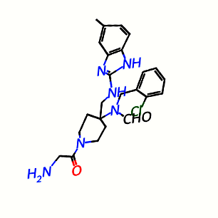 Cc1ccc2[nH]c(NCC3(N(C=O)Cc4ccccc4Cl)CCN(C(=O)CN)CC3)nc2c1